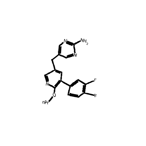 CCCOc1ncc(Cc2cnc(N)nc2)cc1-c1ccc(F)c(F)c1